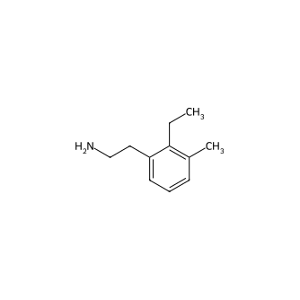 CCc1c(C)cccc1CCN